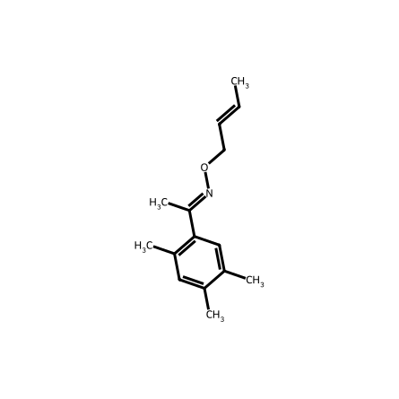 C/C=C/CO/N=C(\C)c1cc(C)c(C)cc1C